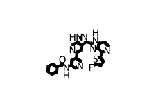 O=C(Nc1cncc(-c2cc3c(-c4nc5c(-c6ccc(F)s6)nccc5[nH]4)n[nH]c3cn2)c1)c1ccccc1